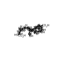 CC[C@H](C)[C@H](NC(=O)[C@H](CCC(=O)O)NC(=O)[C@H](CS)NC(=O)[C@@H](NC(=O)CNC(=O)[C@@H]1CCCN1)[C@@H](C)O)C(=O)NCC(=O)N[C@@H](CS)C(=O)N[C@@H](C)C(=O)N[C@@H](Cc1ccc(O)cc1)C(=O)N[C@@H](C)C(=O)N[C@@H](C)C(=O)N[C@@H](CS)C(=O)NCC(=O)N[C@H](C(=O)NCC(=O)N[C@@H](CS)C(=O)O)[C@@H](C)O